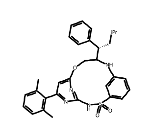 Cc1cccc(C)c1-c1cc2nc(n1)NS(=O)(=O)c1cccc(c1)NC([C@@H](CC(C)C)c1ccccc1)CO2